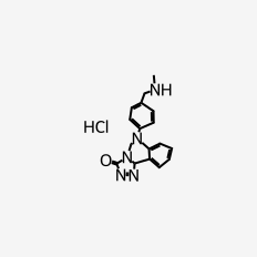 CNCc1ccc(N2CN3C(=O)N=NC3c3ccccc32)cc1.Cl